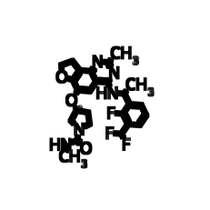 CNC(=O)N1CC[C@H](Oc2cc3c(NC(C)c4cccc(C(F)F)c4F)nc(C)nc3c3c2OCC3)C1